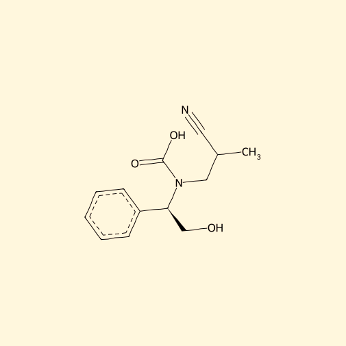 CC(C#N)CN(C(=O)O)[C@@H](CO)c1ccccc1